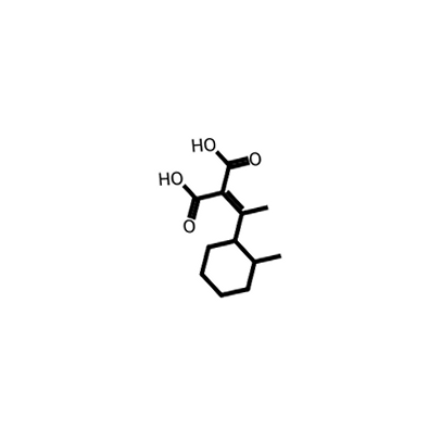 CC(=C(C(=O)O)C(=O)O)C1CCCCC1C